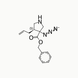 C=CC[C@H]1CNCC1(N=[N+]=[N-])C(=O)OCc1ccccc1